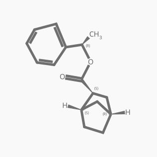 C[C@@H](OC(=O)[C@H]1C[C@@H]2CC[C@H]1C2)c1ccccc1